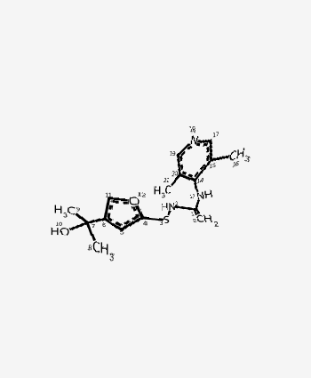 C=C(NSc1cc(C(C)(C)O)co1)Nc1c(C)cncc1C